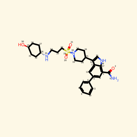 NC(=O)c1cc(-c2ccccc2)cc2c(C3CCN(S(=O)(=O)CCCN[C@H]4CC[C@H](O)CC4)CC3)c[nH]c12